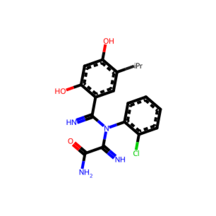 CC(C)c1cc(C(=N)N(C(=N)C(N)=O)c2ccccc2Cl)c(O)cc1O